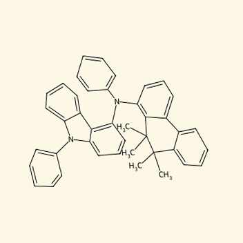 CC1(C)c2ccccc2-c2cccc(N(c3ccccc3)c3cccc4c3c3ccccc3n4-c3ccccc3)c2C1(C)C